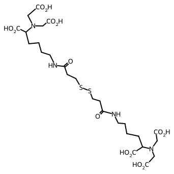 O=C(O)CN(CC(=O)O)C(CCCCNC(=O)CCSSCCC(=O)NCCCCC(C(=O)O)N(CC(=O)O)CC(=O)O)C(=O)O